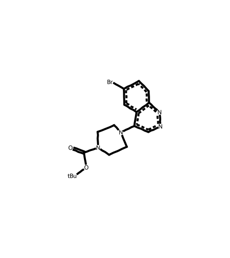 CC(C)(C)OC(=O)N1CCN(c2cnnc3ccc(Br)cc23)CC1